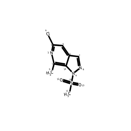 [CH2]c1nc(Cl)cc2cnn(S(C)(=O)=O)c12